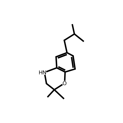 CC(C)Cc1ccc2c(c1)NCC(C)(C)O2